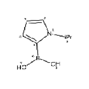 CC(C)n1cccc1B(O)O